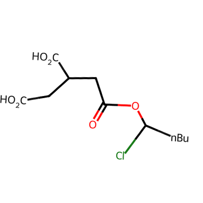 CCCCC(Cl)OC(=O)CC(CC(=O)O)C(=O)O